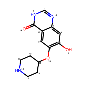 O=c1[nH]cnc2cc(O)c(OC3CCNCC3)cc12